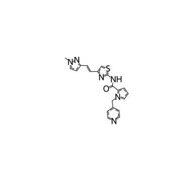 Cn1ccc(/C=C/c2csc(NC(=O)c3cccn3Cc3ccncc3)n2)n1